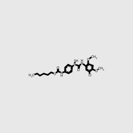 CCCCCCOC(=O)Nc1ccc(N(S)C(=O)Nc2cc(Cl)c(OC)cc2OC)cc1